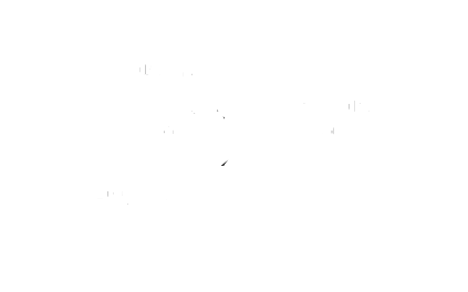 CCOC(=O)C(C)CC[C@@H]1C[C@@H](O[Si](C)(C)C(C)(C)C)CN1C(=O)OC(C)(C)C